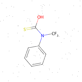 OC(=S)N(c1ccccc1)C(F)(F)F